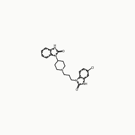 O=c1[nH]c2cc(Cl)ccc2n1CCCN1CCC(n2c(=O)[nH]c3ccccc32)CC1